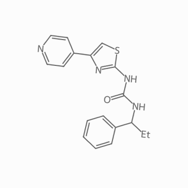 CCC(NC(=O)Nc1nc(-c2ccncc2)cs1)c1ccccc1